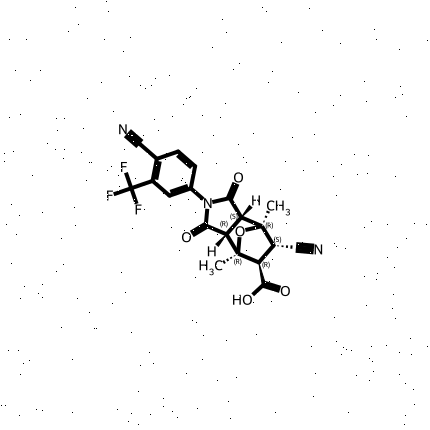 C[C@]12O[C@](C)([C@H](C#N)[C@H]1C(=O)O)[C@H]1C(=O)N(c3ccc(C#N)c(C(F)(F)F)c3)C(=O)[C@H]12